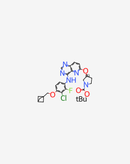 CC(C)(C)OC(=O)N1CC[C@H](Oc2ccc3ncnc(Nc4ccc(OCC56CC(C5)C6)c(Cl)c4F)c3n2)C1